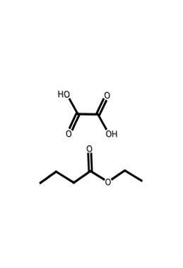 CCCC(=O)OCC.O=C(O)C(=O)O